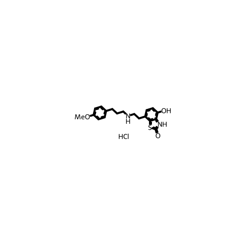 COc1ccc(CCCNCCc2ccc(O)c3[nH]c(=O)sc23)cc1.Cl